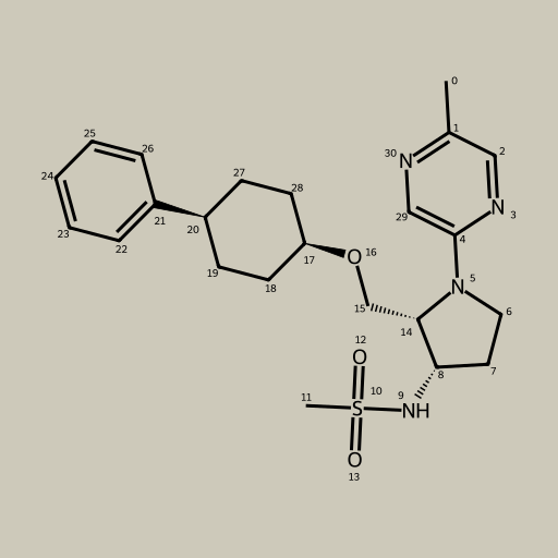 Cc1cnc(N2CC[C@H](NS(C)(=O)=O)[C@@H]2CO[C@H]2CC[C@@H](c3ccccc3)CC2)cn1